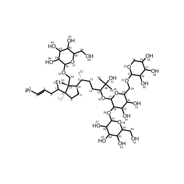 CCC(C/C=C/C(C)C)[C@]1(C)CC[C@H]([C@H](C)CCC(OC2OC(COC3OCC(O)C(O)C3O)C(O)C(O)C2OC2OC(CO)C(O)C(O)C2O)C(C)(C)O)[C@@]1(C)COC1OC(CO)C(O)C(O)C1O